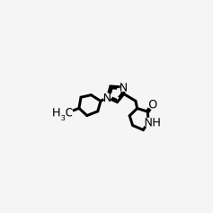 CC1CCC(n2cnc(CC3CCCNC3=O)c2)CC1